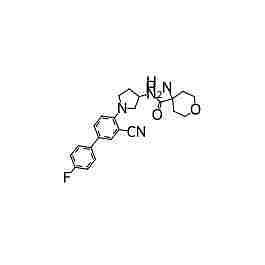 N#Cc1cc(-c2ccc(F)cc2)ccc1N1CCC(NC(=O)C2(N)CCOCC2)C1